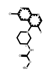 CC(C)(C)OC(=O)N[C@H]1CCCN(c2c(F)cnc3cnc(Cl)cc23)C1